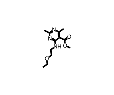 CCOCCNc1nc(C)nc(C)c1C(=O)OC